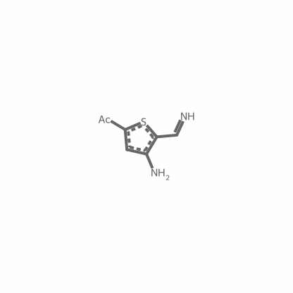 CC(=O)c1cc(N)c(C=N)s1